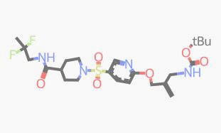 C=C(CNC(=O)OC(C)(C)C)COc1ccc(S(=O)(=O)N2CCC(C(=O)NCC(C)(F)F)CC2)cn1